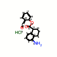 Cl.Nc1cccc2c1CCCC2C(=O)OC1C=CC=CC1=C=O